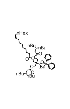 CCCCCC/C=C\CCCCCCCC(=O)OCC(COC(=O)CC(CCCC)CCCC)(COC(=O)CC(CCCC)CCCC)CO[Si](c1ccccc1)(c1ccccc1)C(C)(C)C